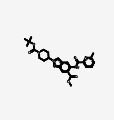 COC(=O)c1cc2nn(C3CCN(C(=O)OC(C)(C)C)CC3)cc2cc1NC(=O)c1cccc(C)n1